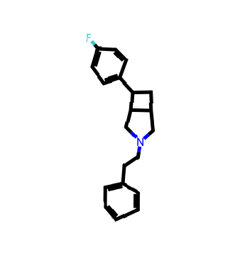 Fc1ccc(C2CC3CN(CCc4ccccc4)CC32)cc1